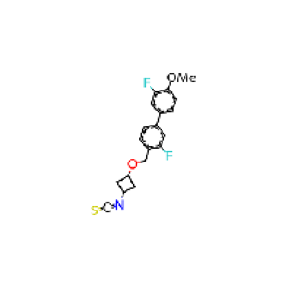 COc1ccc(-c2ccc(CO[C@H]3C[C@@H](N=C=S)C3)c(F)c2)cc1F